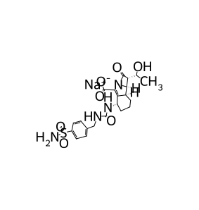 CC(O)[C@H]1C(=O)N2C(C(=O)[O-])=C3[C@@H](NC(=O)NCc4ccc(S(N)(=O)=O)cc4)CCC[C@@H]3[C@H]12.[Na+]